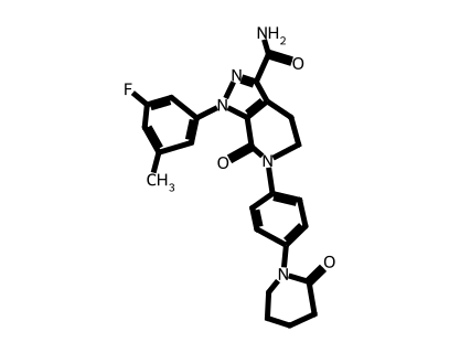 Cc1cc(F)cc(-n2nc(C(N)=O)c3c2C(=O)N(c2ccc(N4CCCCC4=O)cc2)CC3)c1